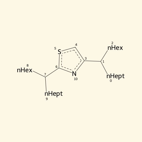 CCCCCCCC(CCCCCC)c1csc(C(CCCCCC)CCCCCCC)n1